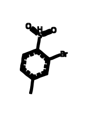 Cc1ccc([SH](=O)=O)c(Br)c1